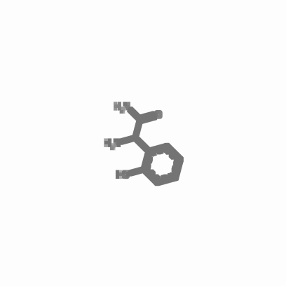 NC(=O)C(N)c1ccccc1O